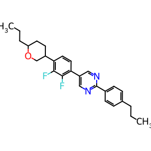 CCCc1ccc(-c2ncc(-c3ccc(C4CCC(CCC)OC4)c(F)c3F)cn2)cc1